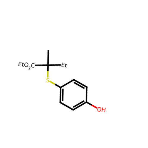 CCOC(=O)C(C)(CC)Sc1ccc(O)cc1